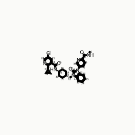 CNC(=O)c1ccc(-n2c(=O)n(C[C@H]3CC[C@H](NC(=O)c4cc(Cl)cnc4C4CC4)CC3)c3ccccc32)cn1